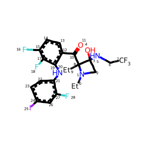 CCN1CC(O)(NCC(F)(F)F)C1(CC)C(=O)c1ccc(F)c(F)c1Nc1ccc(I)cc1F